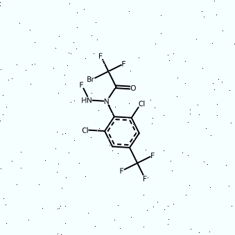 O=C(N(NF)c1c(Cl)cc(C(F)(F)F)cc1Cl)C(F)(F)Br